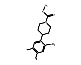 Cc1cc(Cl)c(F)cc1C1CCN(C(=O)OC(C)(C)C)CC1